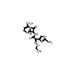 N#CCO/N=C(/C(=O)NC1C(=O)N2C(C(=O)O)=CCS[C@H]12)c1csc(N)n1